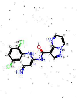 N=C/C=C(/NC(=O)c1cnn2cccnc12)Nc1cc(Cl)ccc1Cl